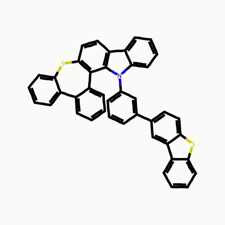 c1cc(-c2ccc3sc4ccccc4c3c2)cc(-n2c3ccccc3c3ccc4c(c32)-c2ccccc2-c2ccccc2S4)c1